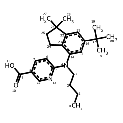 CCCCN(c1ccc(C(=O)O)cn1)c1cc(C(C)(C)C)cc2c1CCC2(C)C